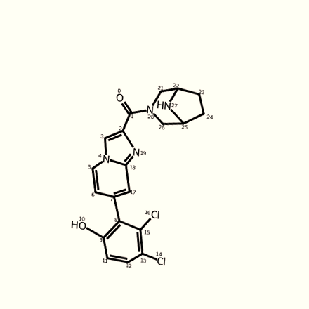 O=C(c1cn2ccc(-c3c(O)ccc(Cl)c3Cl)cc2n1)N1CC2CCC(C1)N2